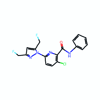 O=C(Nc1ccccc1)c1nc(-n2nc(CF)cc2CF)ccc1Cl